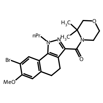 CCCn1nc(C(=O)N2CCOCC2(C)C)c2c1-c1cc(Br)c(OC)cc1CC2